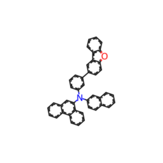 c1cc(-c2ccc3oc4ccccc4c3c2)cc(N(c2ccc3ccccc3c2)c2cc3ccccc3c3ccccc23)c1